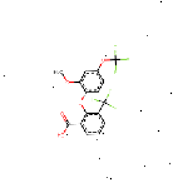 COc1cc(OC(F)(F)F)ccc1Oc1c(C(=O)O)cccc1C(F)(F)F